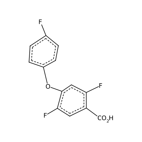 O=C(O)c1cc(F)c(Oc2ccc(F)cc2)cc1F